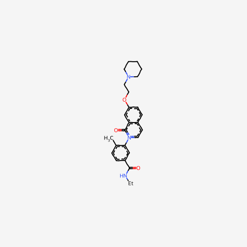 CCNC(=O)c1ccc(C)c(-n2ccc3ccc(OCCN4CCCCC4)cc3c2=O)c1